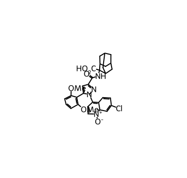 COc1cccc(OC)c1-c1cc(C(=O)NC2(C(=O)O)C3CC4CC(C3)CC2C4)nn1-c1cc[n+]([O-])c2cc(Cl)ccc12